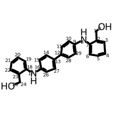 OCc1ccccc1Nc1ccc(-c2ccc(Nc3ccccc3CO)cc2)cc1